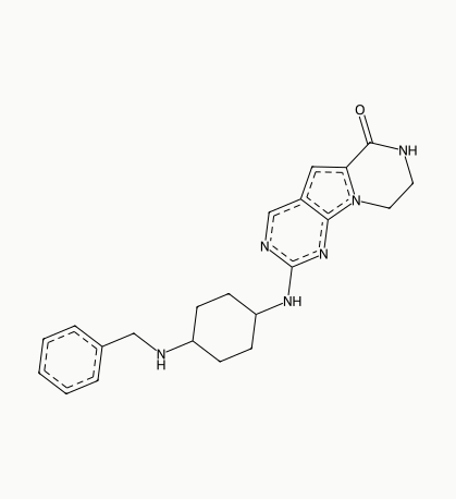 O=C1NCCn2c1cc1cnc(NC3CCC(NCc4ccccc4)CC3)nc12